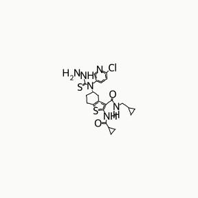 NNC(=S)N(c1ccc(Cl)nc1)[C@H]1CCc2sc(NC(=O)C3CC3)c(C(=O)NCC3CC3)c2C1